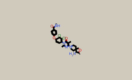 CNC(=O)c1ccc(O[C@@H]2C=CC(n3c(C)nc(N4CCC5(CC4)CO[C@@H](C)[C@H]5N)c(C)c3=O)=C(Cl)[C@@H]2Cl)cc1